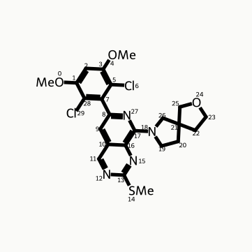 COc1cc(OC)c(Cl)c(-c2cc3cnc(SC)nc3c(N3CCC4(CCOC4)C3)n2)c1Cl